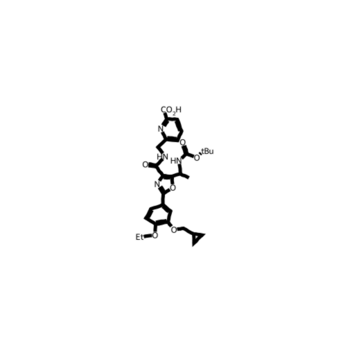 CCOc1ccc(-c2nc(C(=O)NCc3cccc(C(=O)O)n3)c(C(C)NC(=O)OC(C)(C)C)o2)cc1OCC1CC1